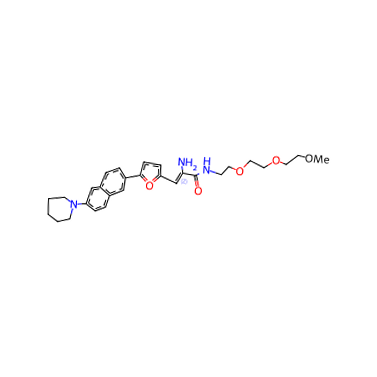 COCCOCCOCCNC(=O)/C(N)=C/c1ccc(-c2ccc3cc(N4CCCCC4)ccc3c2)o1